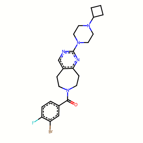 O=C(c1ccc(F)c(Br)c1)N1CCc2cnc(N3CCN(C4CCC4)CC3)nc2CC1